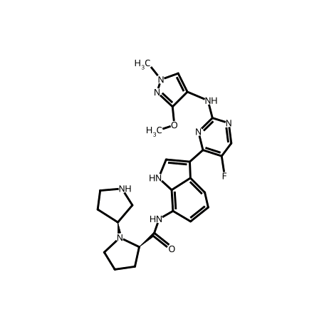 COc1nn(C)cc1Nc1ncc(F)c(-c2c[nH]c3c(NC(=O)[C@H]4CCCN4[C@H]4CCNC4)cccc23)n1